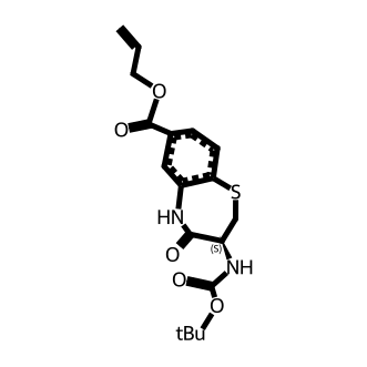 C=CCOC(=O)c1ccc2c(c1)NC(=O)[C@H](NC(=O)OC(C)(C)C)CS2